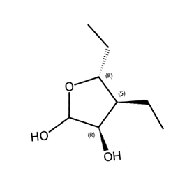 CC[C@@H]1[C@@H](CC)OC(O)[C@@H]1O